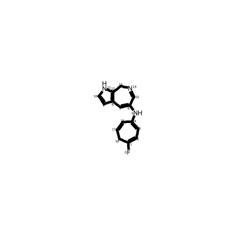 FC1=CC=C(NC2=Cc3cc[nH]c3CN=C2)C=CC1